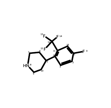 Fc1ccc(C2CCNCC2)c(C(F)(F)F)c1